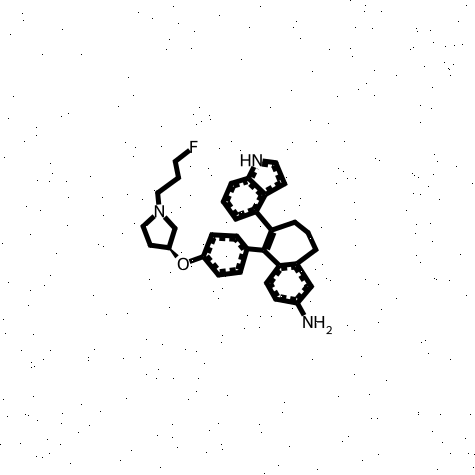 Nc1ccc2c(c1)CCCC(c1cccc3[nH]ccc13)=C2c1ccc(O[C@H]2CCN(CCCF)C2)cc1